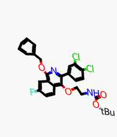 CC(C)(C)OC(=O)NCCOc1c(-c2ccc(Cl)c(Cl)c2)nc(OCc2ccccc2)c2cc(F)ccc12